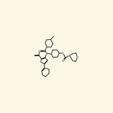 C=C(O)c1sc(C2=CCCCC2)cc1N(C(=C)C1CCC(C)CC1)C1CCC(OC(=O)N2CCOCC2)CC1